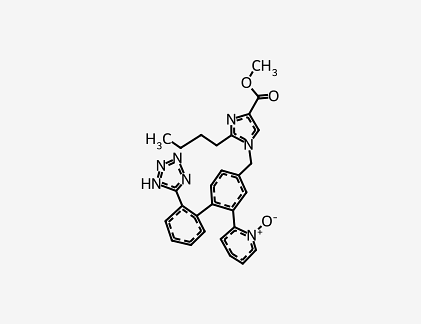 CCCCc1nc(C(=O)OC)cn1Cc1ccc(-c2ccccc2-c2nnn[nH]2)c(-c2cccc[n+]2[O-])c1